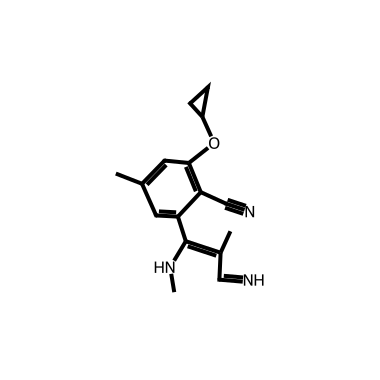 CN/C(=C(/C)C=N)c1cc(C)cc(OC2CC2)c1C#N